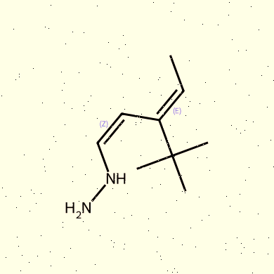 C/C=C(\C=C/NN)C(C)(C)C